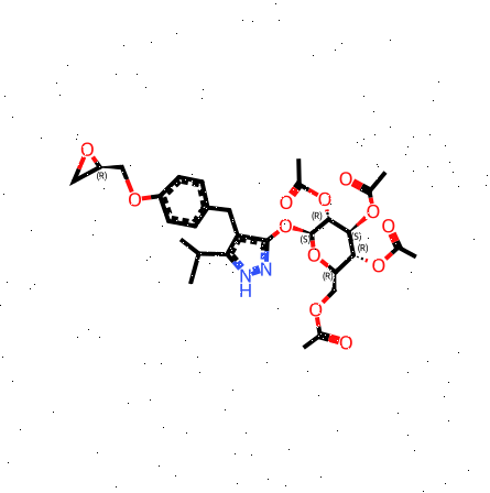 CC(=O)OC[C@H]1O[C@@H](Oc2n[nH]c(C(C)C)c2Cc2ccc(OC[C@H]3CO3)cc2)[C@H](OC(C)=O)[C@@H](OC(C)=O)[C@@H]1OC(C)=O